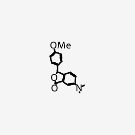 COc1ccc(C2OC(=O)c3cc(N(C)C)ccc32)cc1